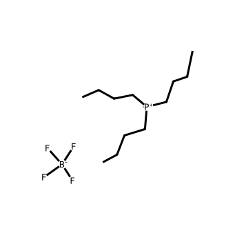 CCCC[P+](CCCC)CCCC.F[B-](F)(F)F